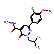 CNC(=O)c1cc(-c2ccc(OC)c(Cl)c2)nn(CC(C)C)c1=O